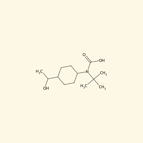 CC(O)C1CCC(N(C(=O)O)C(C)(C)C)CC1